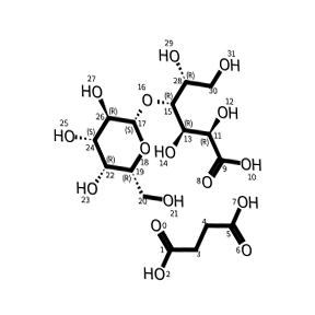 O=C(O)CCC(=O)O.O=C(O)[C@H](O)[C@@H](O)[C@H](O[C@@H]1O[C@H](CO)[C@H](O)[C@H](O)[C@H]1O)[C@H](O)CO